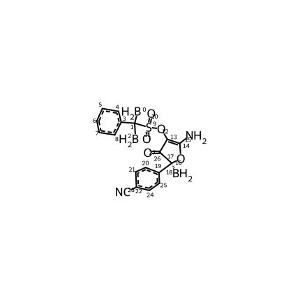 BC(B)(c1ccccc1)S(=O)(=O)OC1=C(N)O[C@@](B)(c2ccc(C#N)cc2)C1=O